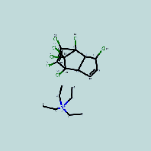 CC[N+](CC)(CC)CC.ClC1=C(Cl)C2(Cl)C3C(Cl)C=CC3C1(Cl)C2(Cl)Cl